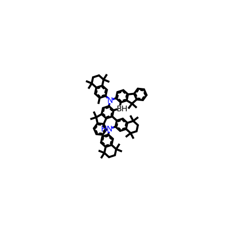 Cc1cc2c(cc1N1c3cc4c(c(-c5cc6c(cc5Nc5ccc7c(c5)C(C)(C)CCC7(C)C)C(C)(C)CCC6(C)C)c3Bc3c1ccc1c3C(C)(C)c3ccccc3-1)-c1ccccc1C4(C)C)C(C)(C)CCC2(C)C